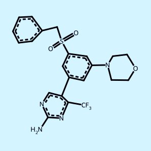 Nc1ncc(-c2cc(N3CCOCC3)cc(S(=O)(=O)Cc3ccccc3)c2)c(C(F)(F)F)n1